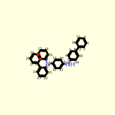 c1ccc(-c2ccc(Nc3ccc(N(c4ccccc4)c4ccccc4-c4ccccc4)cc3)cc2)cc1